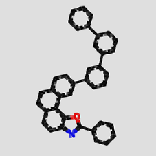 c1ccc(-c2cccc(-c3cccc(-c4ccc5ccc6ccc7nc(-c8ccccc8)oc7c6c5c4)c3)c2)cc1